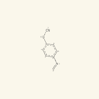 C=Nc1ccc(OC#N)cc1